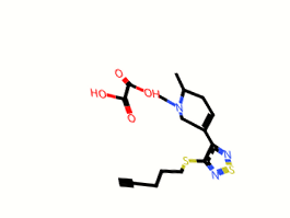 C#CCCCSc1nsnc1C1=CCC(C)N(C)C1.O=C(O)C(=O)O